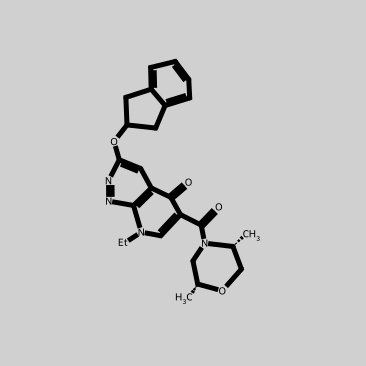 CCn1cc(C(=O)N2C[C@@H](C)OC[C@H]2C)c(=O)c2cc(OC3Cc4ccccc4C3)nnc21